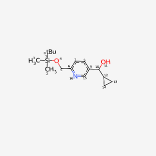 CC(C)(C)[Si](C)(C)OCc1ccc(C(O)C2CC2)cn1